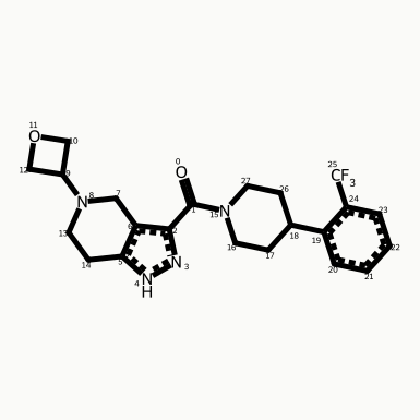 O=C(c1n[nH]c2c1CN(C1COC1)CC2)N1CCC(c2ccccc2C(F)(F)F)CC1